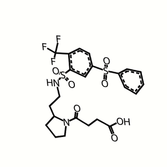 O=C(O)CCC(=O)N1CCCC1CCNS(=O)(=O)c1cc(S(=O)(=O)c2ccccc2)ccc1C(F)(F)F